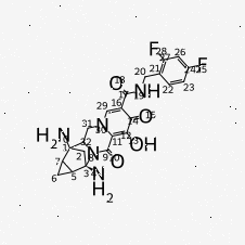 NC12C[C@@](N)(C3CC31)N1C(=O)c3c(O)c(=O)c(C(=O)NCc4ccc(F)cc4F)cn3CC12